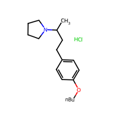 CCCCOc1ccc(CCC(C)N2CCCC2)cc1.Cl